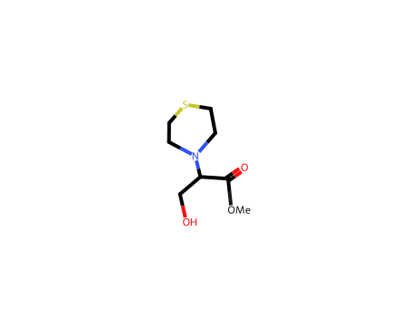 COC(=O)C(CO)N1CCSCC1